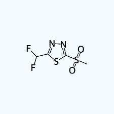 CS(=O)(=O)c1nnc(C(F)F)s1